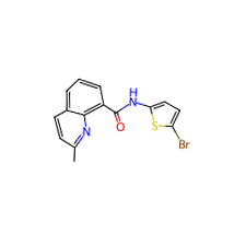 Cc1ccc2cccc(C(=O)Nc3ccc(Br)s3)c2n1